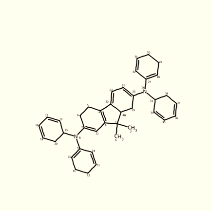 CC1(C)C2=C(CCC(N(C3=CCCC=C3)C3C=CC=CC3)=C2)C2=CC=C(N(C3=CCCC=C3)C3C=CC=CC3)CC21